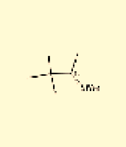 CS[C@@H](C)C(C)(C)C